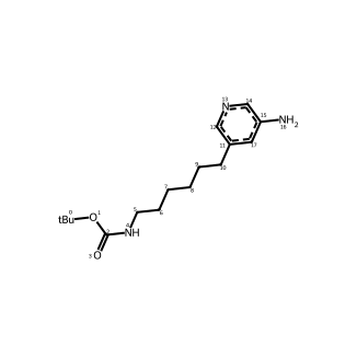 CC(C)(C)OC(=O)NCCCCCCc1cncc(N)c1